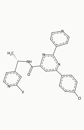 C[C@H](NC(=O)c1cc(-c2ccc(Cl)cc2)nc(-c2ccncc2)n1)c1ccnc(F)c1